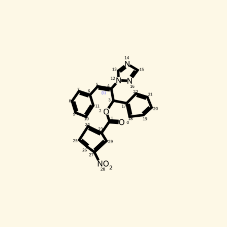 O=C(OC(/C(=C\c1ccccc1)n1cncn1)c1ccccc1)c1cccc([N+](=O)[O-])c1